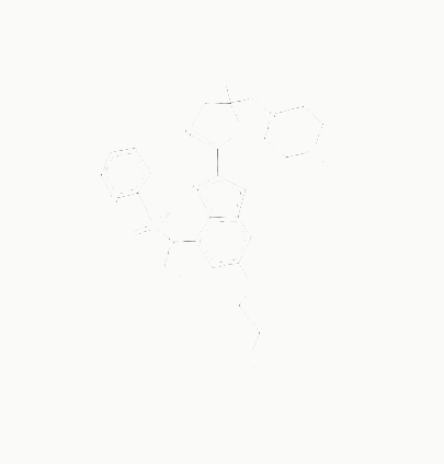 COCCOc1cc(N(C)S(=O)(=O)c2ccccn2)c2[nH]c(C3=NCC(C)(CN4CC[S+]([O-])CC4)S3)cc2c1